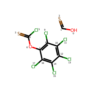 OC=S.S=C(Cl)Oc1c(Cl)c(Cl)c(Cl)c(Cl)c1Cl